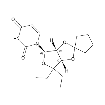 CCC1(CC)O[C@@H](n2ccc(=O)[nH]c2=O)[C@@H]2OC3(CCCC3)O[C@@H]21